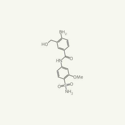 Bc1ccc(C(=O)Nc2ccc(S(N)(=O)=O)c(OC)c2)cc1CO